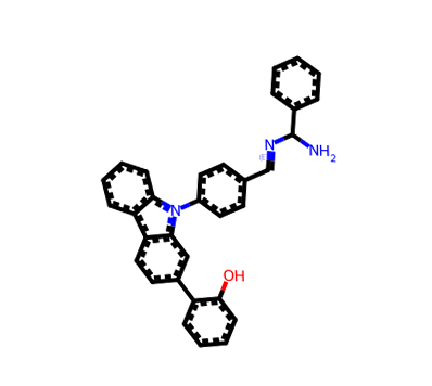 NC(/N=C/c1ccc(-n2c3ccccc3c3ccc(-c4ccccc4O)cc32)cc1)c1ccccc1